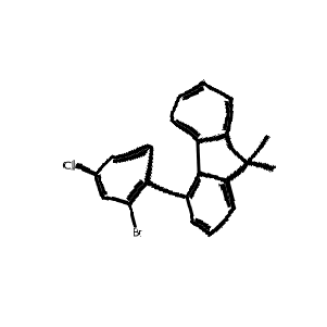 CC1(C)c2ccccc2-c2c(-c3ccc(Cl)cc3Br)cccc21